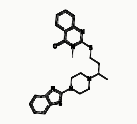 CC(CCSc1nc2ccccc2c(=O)n1C)N1CCN(c2nc3ccccc3s2)CC1